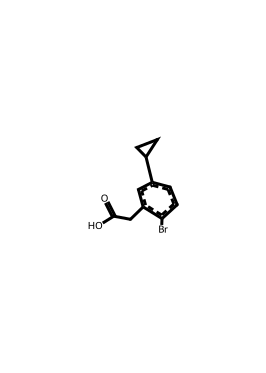 O=C(O)Cc1cc(C2CC2)ccc1Br